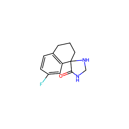 O=C1NCNC12CCCc1ccc(F)cc12